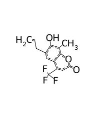 C=CCc1cc2c(C(F)(F)F)cc(=O)oc2c(C)c1O